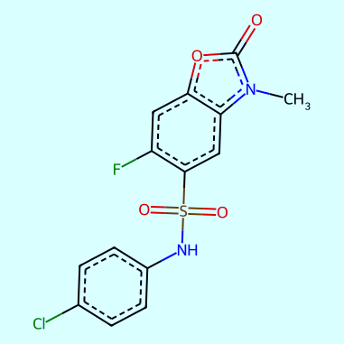 Cn1c(=O)oc2cc(F)c(S(=O)(=O)Nc3ccc(Cl)cc3)cc21